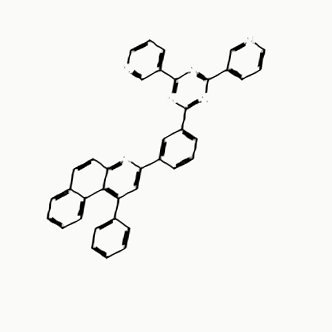 c1ccc(-c2cc(-c3cccc(-c4nc(-c5cccnc5)nc(-c5cccnc5)n4)c3)nc3ccc4ccccc4c23)cc1